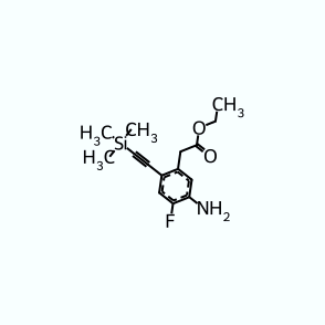 CCOC(=O)Cc1cc(N)c(F)cc1C#C[Si](C)(C)C